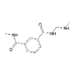 CNCNC(=O)c1cccc(C(=O)NC)c1